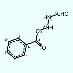 O=CNNOC(=O)c1ccccc1